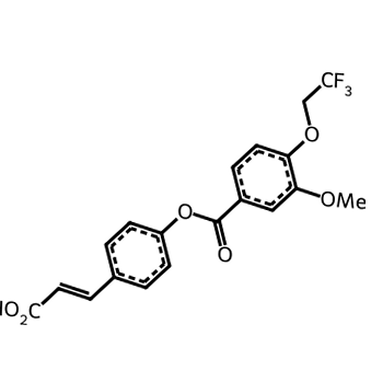 COc1cc(C(=O)Oc2ccc(/C=C/C(=O)O)cc2)ccc1OCC(F)(F)F